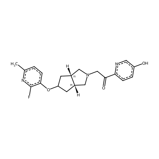 Cc1ccc(OC2C[C@@H]3CN(CC(=O)c4ccc(O)cn4)C[C@@H]3C2)c(F)n1